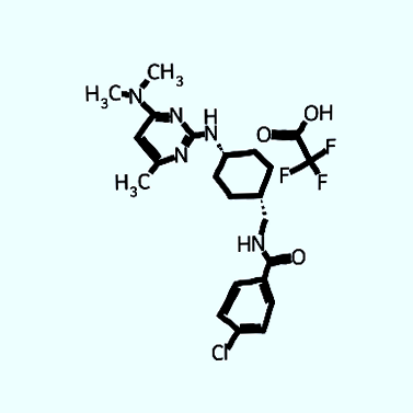 Cc1cc(N(C)C)nc(N[C@H]2CC[C@@H](CNC(=O)c3ccc(Cl)cc3)CC2)n1.O=C(O)C(F)(F)F